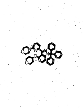 c1ccc(C(c2ccccc2)(c2ccccc2)n2nc(-c3cccc(N4CCOCC4)n3)c3c(OC4CCOCC4)nccc32)cc1